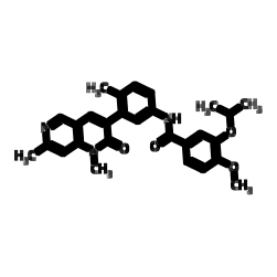 COc1ccc(C(=O)Nc2ccc(C)c(-c3cc4cnc(C)cc4n(C)c3=O)c2)cc1OC(C)C